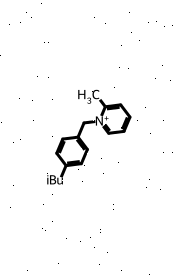 CCC(C)c1ccc(C[n+]2ccccc2C)cc1